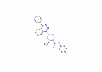 C[C@H]1CN(c2nnc(-c3ccccc3)c3ccccc23)CCN1C(=O)Nc1ccc(F)cc1